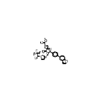 COC(=O)N1CC2(C1)N=C(c1ccc(-c3ccc4occc4c3)cc1)N(C[C@@H]1CCN(C(=O)C(F)(F)F)C1)C2=O